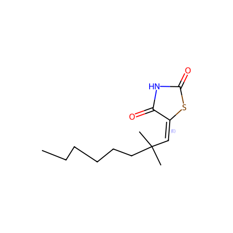 CCCCCCC(C)(C)/C=C1/SC(=O)NC1=O